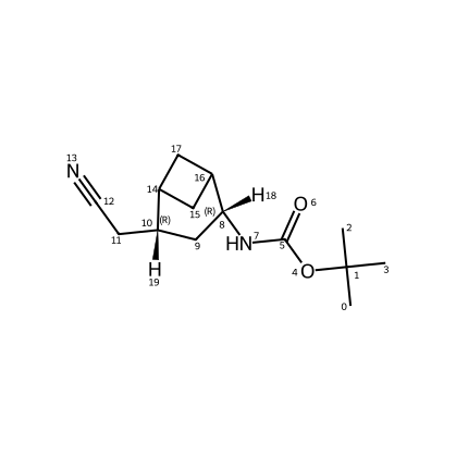 CC(C)(C)OC(=O)N[C@@H]1C[C@H](CC#N)C2CC1C2